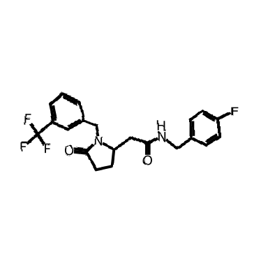 O=C(CC1CCC(=O)N1Cc1cccc(C(F)(F)F)c1)NCc1ccc(F)cc1